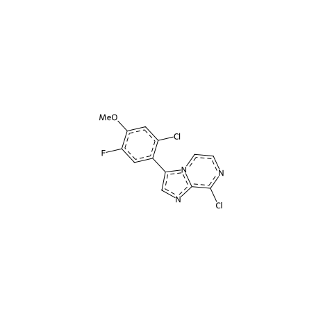 COc1cc(Cl)c(-c2cnc3c(Cl)nccn23)cc1F